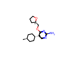 C[C@H]1CC[C@H](c2cnc(N)nc2OC[C@H]2CCCO2)CC1